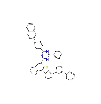 c1ccc(-c2cccc(-c3cccc4c3sc3c(-c5nc(-c6ccccc6)nc(-c6ccc(-c7ccc8ccccc8c7)cc6)n5)cc5ccccc5c34)c2)cc1